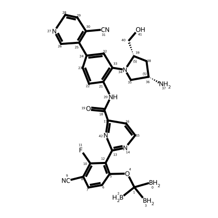 BC(B)(B)Oc1ccc(C#N)c(F)c1-c1nccc(C(=O)Nc2ccc(-c3cnccc3C#N)cc2N2C[C@@H](N)C[C@H]2CO)n1